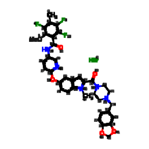 Br.COc1c(F)c(C)c(F)c(F)c1C(=O)Nc1ccc(Oc2ccc3c(c2)cc(C(=O)N2CCN(Cc4ccc5c(c4)OCO5)CC2)n3C)nc1